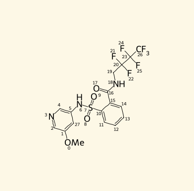 COc1cncc(NS(=O)(=O)c2ccccc2C(=O)NCC(F)(F)C(F)(F)C(F)(F)F)c1